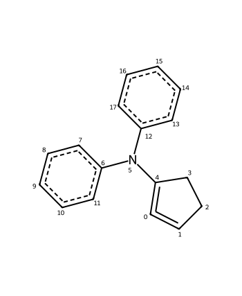 C1=CCCC=1N(c1ccccc1)c1ccccc1